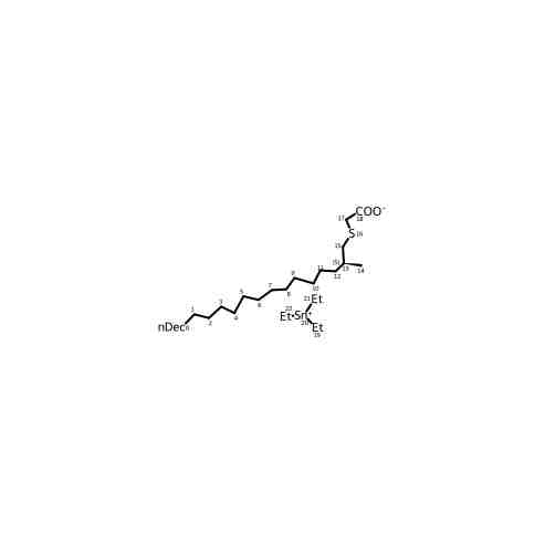 CCCCCCCCCCCCCCCCCCCCCC[C@H](C)CSCC(=O)[O-].C[CH2][Sn+]([CH2]C)[CH2]C